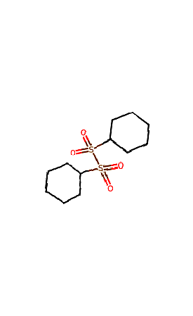 O=S(=O)(C1CCCCC1)S(=O)(=O)C1CCCCC1